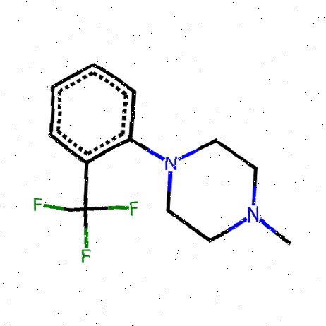 CN1CCN(c2cc[c]cc2C(F)(F)F)CC1